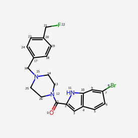 O=C(c1cc2ccc(Br)cc2[nH]1)N1CCN(Cc2ccc(CF)cc2)CC1